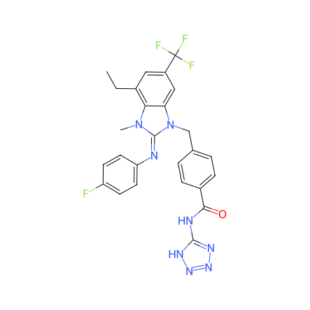 CCc1cc(C(F)(F)F)cc2c1n(C)c(=Nc1ccc(F)cc1)n2Cc1ccc(C(=O)Nc2nnn[nH]2)cc1